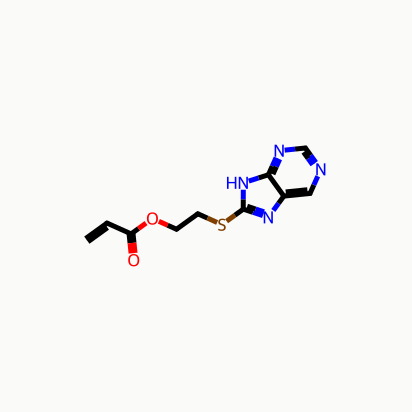 C=CC(=O)OCCSc1nc2cncnc2[nH]1